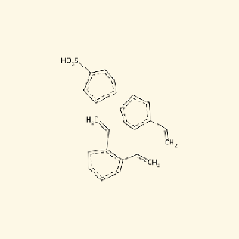 C=Cc1ccccc1.C=Cc1ccccc1C=C.O=S(=O)(O)c1ccccc1